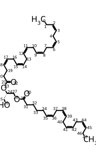 CC/C=C\C/C=C\C/C=C\C/C=C\C/C=C\C/C=C\CCC(=O)O[C@@H](CO)COC(=O)CCCC/C=C\C/C=C\C/C=C\C/C=C\CC